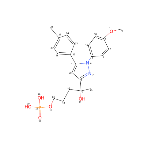 COc1ccc(-n2nc(C(C)(O)CCCOP(=O)(O)O)cc2-c2ccc(C)cc2)cc1